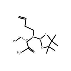 C=CCCN(B1OC(C)(C)C(C)(C)O1)[C@@H](CC(C)C)C(N)=O